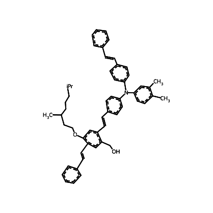 Cc1ccc(N(c2ccc(/C=C/c3ccccc3)cc2)c2ccc(/C=C/c3cc(OCCC(C)CCCC(C)C)c(/C=C/c4ccccc4)cc3CO)cc2)cc1C